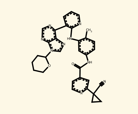 Cc1ccc(NC(=O)c2ccnc(C3(C#N)CC3)c2)cc1Nc1ncccc1-c1ncnc2c1ncn2C1CCCCO1